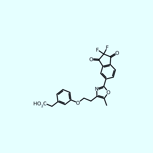 Cc1oc(-c2ccc3c(c2)C(=O)C(F)(F)C3=O)nc1CCOc1cccc(CC(=O)O)c1